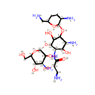 NCC1CCC(N)[C@@H](OC2C(O)[C@@H](O[C@H]3OC(CO)[C@@H](O)[C@H](N)C3O)[C@H](NC(=O)[C@@H](O)CN)C(O)[C@@H]2N)O1